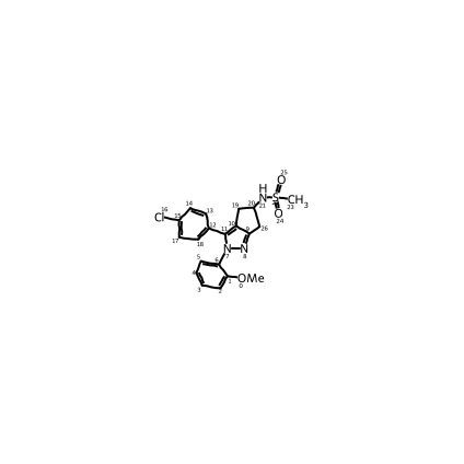 COc1ccccc1-n1nc2c(c1-c1ccc(Cl)cc1)CC(NS(C)(=O)=O)C2